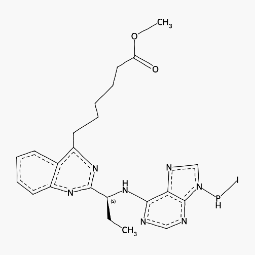 CC[C@H](Nc1ncnc2c1ncn2PI)c1nc(CCCCCC(=O)OC)c2ccccc2n1